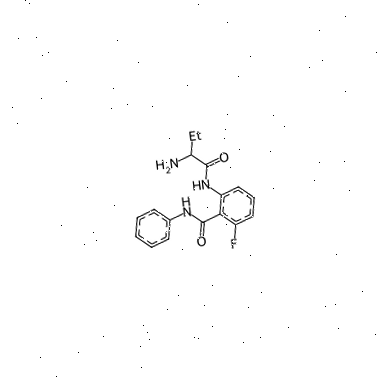 CCC(N)C(=O)Nc1cccc(F)c1C(=O)Nc1ccccc1